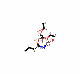 CCC[C@@H](N=C=O)O[SiH](OCC)OCC